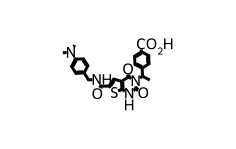 CC(c1ccc(C(=O)O)cc1)n1c(=O)[nH]c2sc(C(=O)NCc3ccc(N(C)C)cc3)cc2c1=O